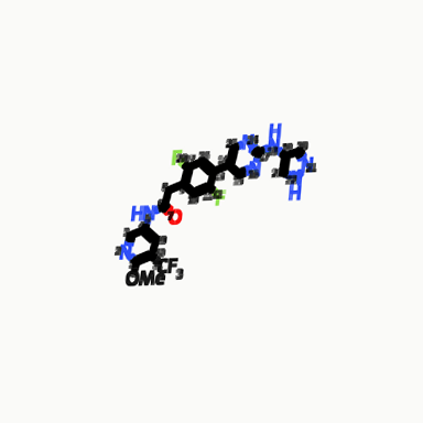 COc1ncc(NC(=O)Cc2cc(F)c(-c3cnc(Nc4cn[nH]c4)nc3)cc2F)cc1C(F)(F)F